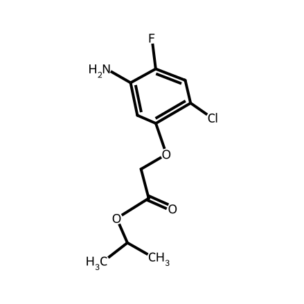 CC(C)OC(=O)COc1cc(N)c(F)cc1Cl